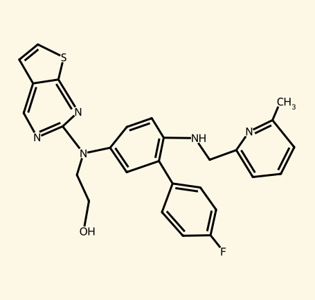 Cc1cccc(CNc2ccc(N(CCO)c3ncc4ccsc4n3)cc2-c2ccc(F)cc2)n1